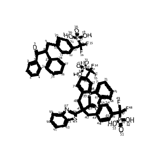 O=C(c1ccccc1)C(Cc1ccc(C(F)(F)P(=O)(O)O)cc1)c1ccccc1.O=P(O)(O)C(F)(F)c1ccc(CC(Cc2ccc(C(F)(F)P(=O)(O)O)cc2)(c2nc3ccccc3s2)c2nc3ccccc3s2)cc1